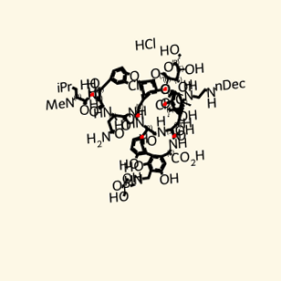 CCCCCCCCCCNCCN[C@@]1(C)C[C@H](O[C@H]2[C@H](Oc3c4cc5cc3Oc3ccc(cc3Cl)[C@@H](O)[C@@H](NC(=O)[C@@H](CC(C)C)NC)C(=O)N[C@@H](CC(N)=O)C(=O)N[C@H]5C(=O)N[C@H]3C(=O)N[C@H](C(=O)N[C@H](C(=O)O)c5cc(O)c(CNCP(=O)(O)O)c(O)c5-c5cc3ccc5O)[C@H](O)c3ccc(c(Cl)c3)O4)O[C@H](CO)[C@@H](O)[C@@H]2O)O[C@@H](C)[C@H]1O.Cl